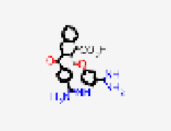 N=C(N)c1ccc(C(=O)C(Cc2ccccc2)[C@@H](COc2cccc(C(=N)N)c2)CC(=O)O)cc1